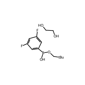 CC(C)(C)COB(O)c1cc(F)cc(F)c1.OCCO